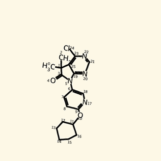 CC1(C)C(=O)N(c2ccc(OC3CCCCC3)nc2)c2ncnc(Cl)c21